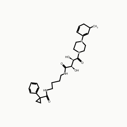 CC1C=C(N2CCN(C(=O)[C@H](O)[C@@H](O)C(=O)NCCCCNC(=O)C3(c4ccccc4)CC3)CC2)C=CC1